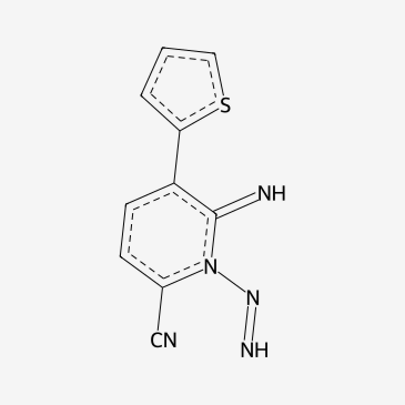 N#Cc1ccc(-c2cccs2)c(=N)n1N=N